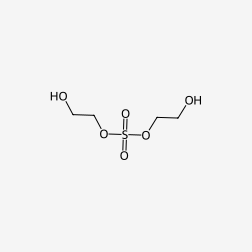 O=S(=O)(OCCO)OCCO